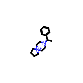 CC(c1ccccc1)N1CC[N+]2(CCCC2)CC1